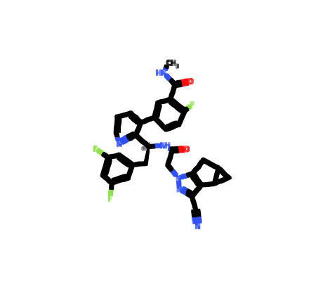 CNC(=O)c1cc(-c2cccnc2[C@H](Cc2cc(F)cc(F)c2)NC(=O)Cn2nc(C#N)c3c2CC2CC32)ccc1F